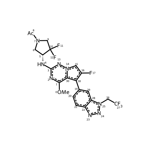 COc1nc(N[C@@H]2CN(C(C)=O)CC2(F)F)nn2cc(F)c(-c3ccc4nnn(CC(F)(F)F)c4c3)c12